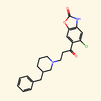 O=C(CCN1CCCC(Cc2ccccc2)C1)c1cc2oc(=O)[nH]c2cc1Cl